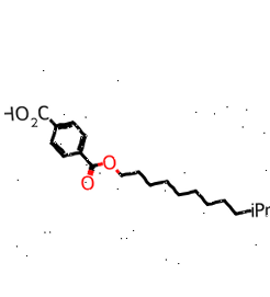 CC(C)CCCCCCCCCOC(=O)c1ccc(C(=O)O)cc1